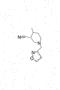 CC1CCN(Cc2ccon2)CC1C#N